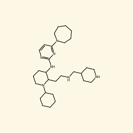 c1cc(N2CCCCCC2)nc(NC2CCCN(C3CCCCC3)C2CCNCC2CCNCC2)n1